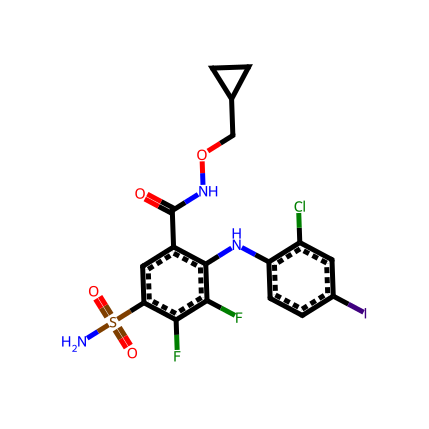 NS(=O)(=O)c1cc(C(=O)NOCC2CC2)c(Nc2ccc(I)cc2Cl)c(F)c1F